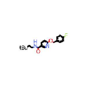 CC(C)(C)CCNC(=O)c1ccc(OCc2ccc(F)cc2)nc1